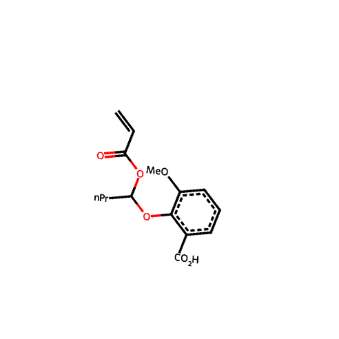 C=CC(=O)OC(CCC)Oc1c(OC)cccc1C(=O)O